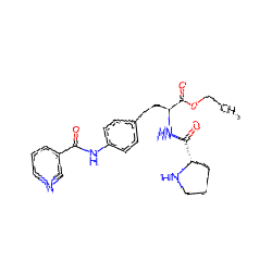 CCOC(=O)[C@H](Cc1ccc(NC(=O)c2cccnc2)cc1)NC(=O)[C@@H]1CCCN1